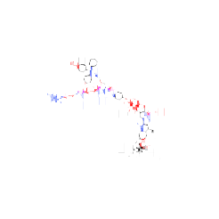 CCc1c2c(nc3ccc(O[Si](C)(C)C(C)(C)C)cc13)C1=CC3=C(COC(=O)C3(CC)OC(=O)OCc3ccc(NC(=O)C(CCCCNC(c4ccccc4)(c4ccccc4)c4ccc(OC)cc4)NC(=O)COCC(=O)NCCOCCN=[N+]=[N-])cc3)C(O)N1C2